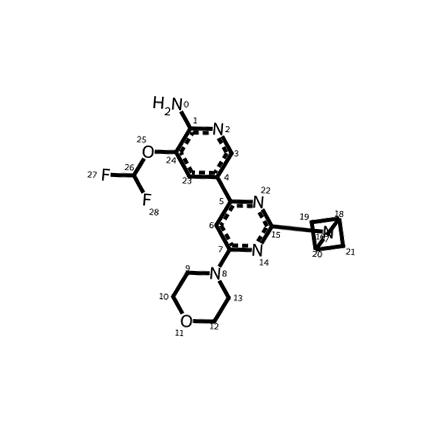 Nc1ncc(-c2cc(N3CCOCC3)nc(N3CC4CC3C4)n2)cc1OC(F)F